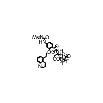 CNC(=O)Nc1ccc(S(=O)(=O)NC(C=O)CC(=O)O)c(OCCc2cccc3ncccc23)c1.O=C(O)C(F)(F)F